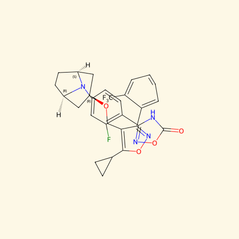 O=c1[nH]c(-c2ccc(N3[C@@H]4CC[C@H]3C[C@@H](OCc3c(-c5ccccc5C(F)(F)F)noc3C3CC3)C4)cc2F)no1